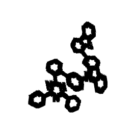 C1=CCCC(c2nc(-c3ccccc3)nc(-c3ccccc3-c3cccc(-n4c5ccccc5c5ccc(-c6cccc7c6sc6ccccc67)cc54)c3)n2)=C1